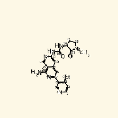 CCc1ccncc1-c1cc2cc(NC(=O)N[C@H]3CCN(C)C3=O)ncc2c(N)n1